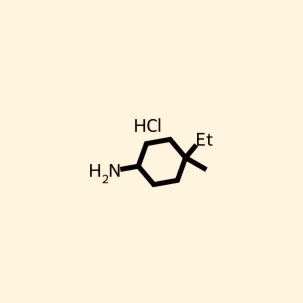 CCC1(C)CCC(N)CC1.Cl